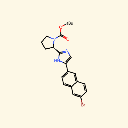 CC(C)(C)OC(=O)N1CCC[C@@H]1c1ncc(-c2ccc3cc(Br)ccc3c2)[nH]1